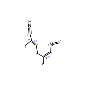 C=N/C=C(/C)C/C=C(\C)C#N